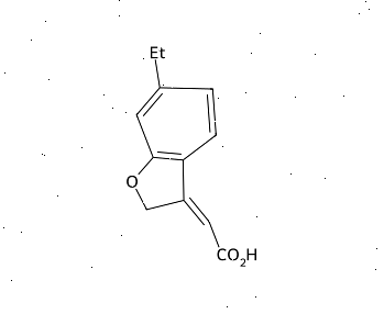 CCc1ccc2c(c1)OCC2=CC(=O)O